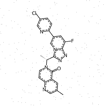 Cc1cnc2ccn([C@H](C)c3nnc4c(F)cc(-c5ccc(Cl)cn5)cn34)c(=O)c2c1